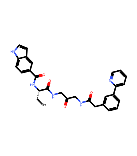 CC(C)C[C@H](NC(=O)c1ccc2[nH]ccc2c1)C(=O)NCC(=O)CNC(=O)Cc1cccc(-c2ccccn2)c1